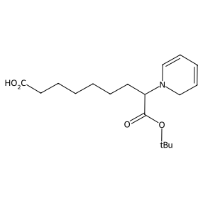 CC(C)(C)OC(=O)C(CCCCCCC(=O)O)N1C=CC=CC1